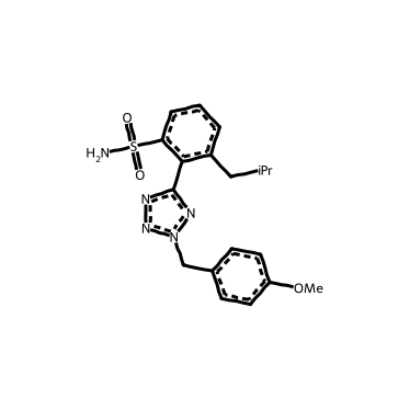 COc1ccc(Cn2nnc(-c3c(CC(C)C)cccc3S(N)(=O)=O)n2)cc1